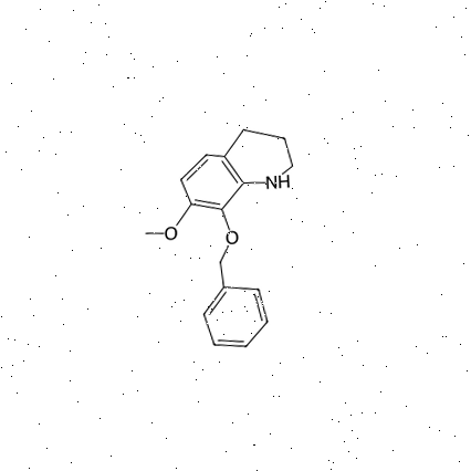 COc1ccc2c(c1OCc1ccccc1)NCCC2